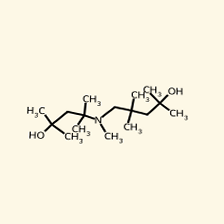 CN(CC(C)(C)CC(C)(C)O)C(C)(C)CC(C)(C)O